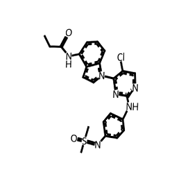 CCC(=O)Nc1cccc2c1ccn2-c1nc(Nc2ccc(N=S(C)(C)=O)cc2)ncc1Cl